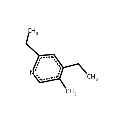 CCc1cc(CC)c(C)cn1